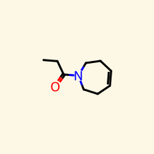 CCC(=O)N1CCC=CCC1